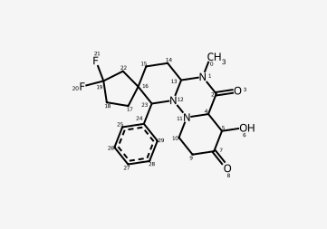 CN1C(=O)C2C(O)C(=O)CCN2N2C1CCC1(CCC(F)(F)C1)C2c1ccccc1